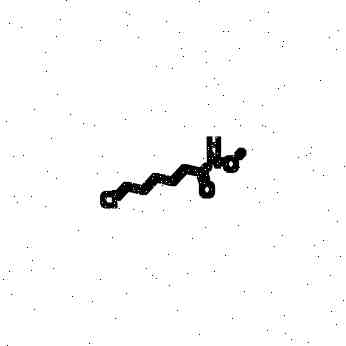 CONC(=O)CCCCCCl